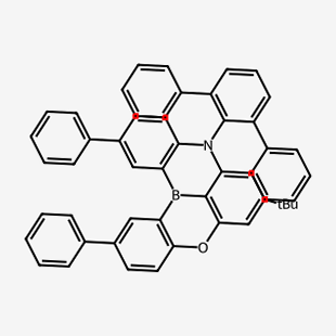 CC(C)(C)c1cc2c3c(c1)N(c1c(-c4ccccc4)cccc1-c1ccccc1)c1ccc(-c4ccccc4)cc1B3c1cc(-c3ccccc3)ccc1O2